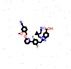 COc1cc(C#N)ccc1COc1cccc(-c2cc(F)c(Cc3nc4ccc(C(=O)O)cc4n3CC3(CC#N)CC3)cc2F)n1